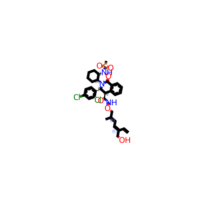 C=C/C(=C\C=C(/C)CONC(=O)[C@@H]1c2ccccc2C(=O)N([C@H]2CCCC[C@@H]2NS(C)(=O)=O)[C@H]1c1ccc(Cl)cc1Cl)CO